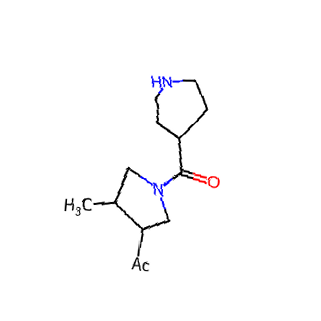 CC(=O)C1CN(C(=O)C2CCNCC2)CC1C